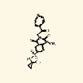 Cn1c(=O)n(CC(=O)c2ccncc2)c(=O)c2cc(S(=O)(=O)NC3(C)CC3)ccc21